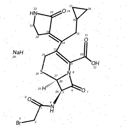 O=C(CBr)N[C@@H]1C(=O)N2C(C(=O)O)=C(C(CC3CC3)=C3CCNC3=O)CS[C@H]12.[NaH]